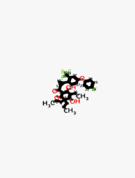 CCCC1(CCC)C(=O)C(C(=O)C2CC2c2ccc(Oc3ccc(F)cc3)cc2C(F)(F)F)=C(O)C(CC)=C1O